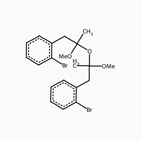 COC(C)(Cc1ccccc1Br)OC(C)(Cc1ccccc1Br)OC